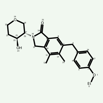 CCOc1ccc(Cc2cc3c(c(C)c2C)CN([C@H]2COCC[C@@H]2O)C3=O)cc1